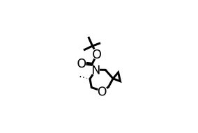 C[C@H]1COCC2(CC2)CN1C(=O)OC(C)(C)C